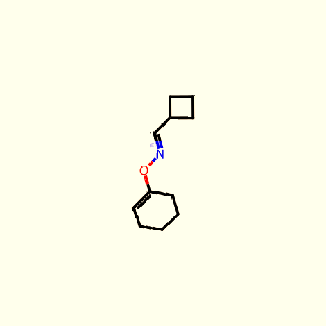 [C](=N\OC1=CCCCC1)/C1CCC1